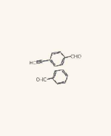 C#Cc1ccc(C=O)cc1.O=Cc1ccccc1